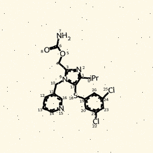 CC(C)c1nc(COC(N)=O)n(Cc2cccnc2)c1Sc1cc(Cl)cc(Cl)c1